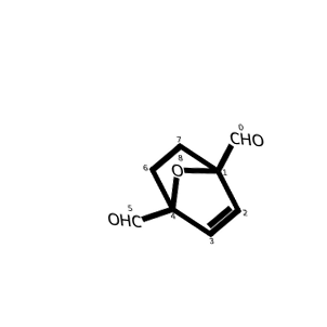 O=CC12C=CC(C=O)(CC1)O2